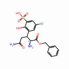 NC(=O)CC(c1cc(Cl)cc(S(=O)(=O)O)c1O)[C@H](N)C(=O)OCc1ccccc1